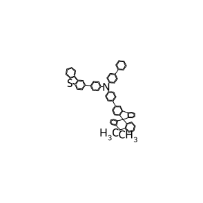 CC1(C)c2ccccc2C2(c3ccccc3-c3cc(-c4ccc(N(c5ccc(-c6ccccc6)cc5)c5ccc(-c6ccc7sc8ccccc8c7c6)cc5)cc4)ccc32)c2ccccc21